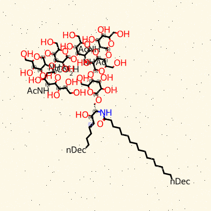 CCCCCCCCCCCCC/C=C/[C@@H](O)[C@H](CO[C@@H]1OC(CO)[C@@H](O[C@@H]2OC(CO)[C@H](O[C@@H]3OC(CO)[C@H](O)[C@H](O)C3NC(C)=O)[C@H](O[C@@H]3OC(CO)[C@@H](O)[C@H](O[C@@H]4OC(CO)[C@H](O[C@@H]5OC(CO)[C@H](O)[C@H](O)C5NC(C)=O)[C@H](O[C@]5(C(=O)O)CC(O)[C@@H](NC(C)=O)C([C@H](O)[C@H](O)CO)O5)C4O)C3NC(C)=O)C2O)[C@H](O)C1O)NC(=O)CCCCCCCCCCCCCCCCCCCCCCCCC